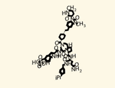 C=C1CCC(n2c(=O)n(C)c3cc(CC[C@H]4CC[C@@H](C(=O)N5CC[C@H]6CC[C@@H](C(=O)N[C@@H](CCC(N)=O)C(=O)NCc7ccc(C(C)C)cc7)N6C(=O)[C@@H](NC(=O)c6cc7cc(C(=O)P(=O)(O)O)ccc7[nH]6)C5)CC4)ccc32)C(=O)N1